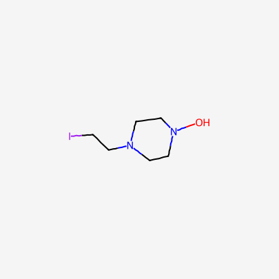 ON1CCN(CCI)CC1